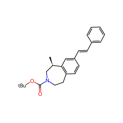 C[C@@H]1CN(C(=O)OC(C)(C)C)CCc2ccc(C=Cc3ccccc3)cc21